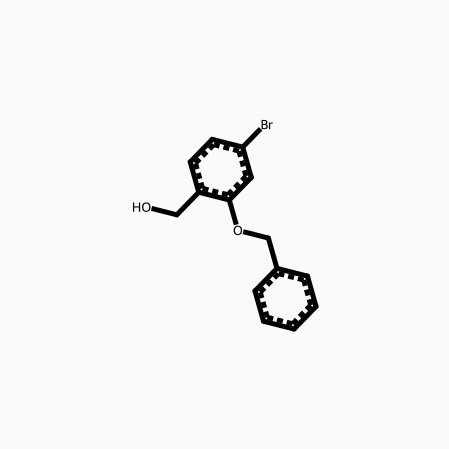 OCc1ccc(Br)cc1OCc1ccccc1